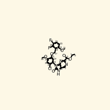 CCOC(=O)c1ncc2[nH]c(=O)n(-c3cc(OCc4c(OC)ccc(F)c4F)c(OC)cc3Cl)c2n1